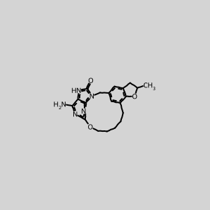 CC1Cc2cc3cc(c2O1)CCCCCOc1nc(N)c2[nH]c(=O)n(c2n1)C3